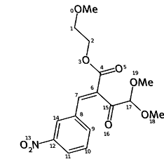 COCCOC(=O)C(=Cc1cccc([N+](=O)[O-])c1)C(=O)C(OC)OC